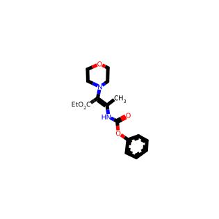 CCOC(=O)/C(=C(/C)NC(=O)Oc1ccccc1)N1CCOCC1